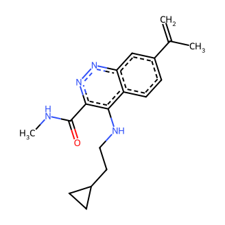 C=C(C)c1ccc2c(NCCC3CC3)c(C(=O)NC)nnc2c1